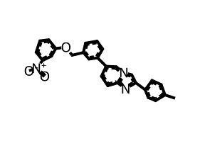 Cc1ccc(-c2cn3cc(-c4cccc(COc5cccc([N+](=O)[O-])c5)c4)ccc3n2)cc1